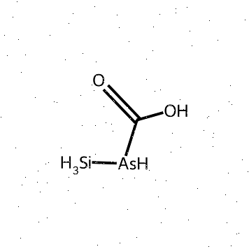 O=C(O)[AsH][SiH3]